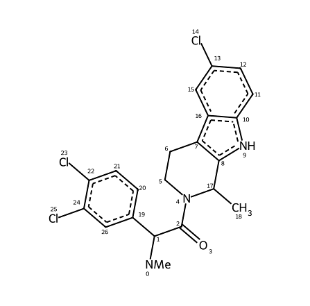 CNC(C(=O)N1CCc2c([nH]c3ccc(Cl)cc23)C1C)c1ccc(Cl)c(Cl)c1